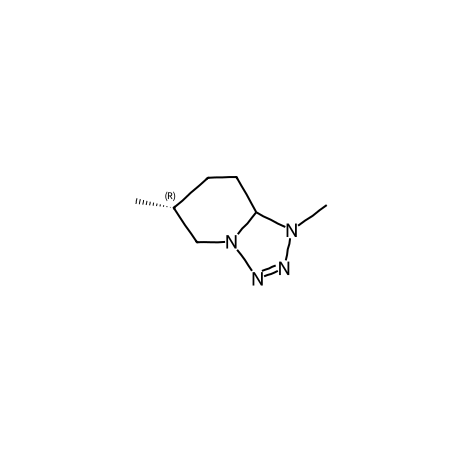 C[C@@H]1CCC2N(C)N=NN2C1